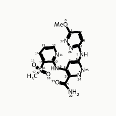 COc1ccc(Nc2cc(Nc3ncccc3S(C)(=O)=O)c(C(N)=O)nn2)nn1